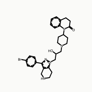 O=C1CCc2ccccc2N1C1CCN(CC(O)Cn2nc(-c3ccc(Br)cc3)c3c2CCNC3)CC1